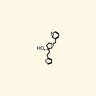 OC[C@]1(CCc2cccs2)CCN(Cc2cccnc2)C1